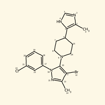 Cc1nc[nH]c1C1CCN(c2c(Br)c(C)nn2-c2cccc(Cl)c2)CC1